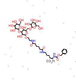 O=C(CCCCC(=O)NCCO[C@H]1O[C@H](CO[C@H]2O[C@H](CO)[C@@H](O)[C@H](O)[C@@H]2O)[C@@H](O)[C@H](O[C@@H]2O[C@H](CO)[C@@H](O)[C@H](O)[C@@H]2O)[C@@H]1O)NCCCC[C@H](NC(=O)OCc1ccccc1)C(=O)O